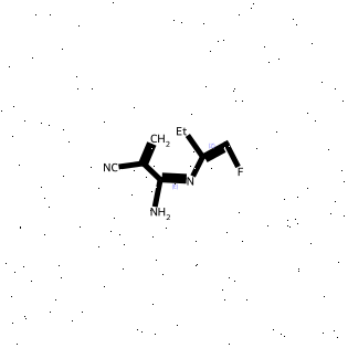 C=C(C#N)/C(N)=N\C(=C/F)CC